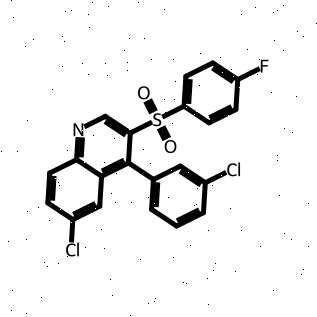 O=S(=O)(c1ccc(F)cc1)c1cnc2ccc(Cl)cc2c1-c1cccc(Cl)c1